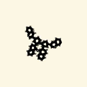 c1ccc2ncc(-c3ccc4c5ccc(-c6cnc7ccccc7c6)cc5c5ccc6ccccc6c5oc5c6ccccc6ccc5c4c3)cc2c1